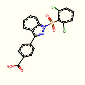 O=C(O)c1ccc(-c2nn(S(=O)(=O)c3c(Cl)cccc3Cl)c3ccccc23)cc1